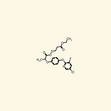 CCOC(=O)CCSOC(=O)C(C)Oc1ccc(Oc2ncc(Cl)cc2F)cc1